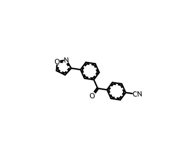 N#Cc1ccc(C(=O)c2cccc(-c3ccon3)c2)cc1